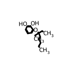 CCCCCC(CC)(CC)Oc1cccc(O)c1O